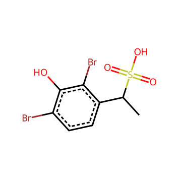 CC(c1ccc(Br)c(O)c1Br)S(=O)(=O)O